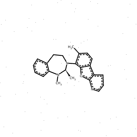 Cc1ccc2c(oc3ncccc32)c1N1CCc2ccccc2N(C)[C@@H]1C